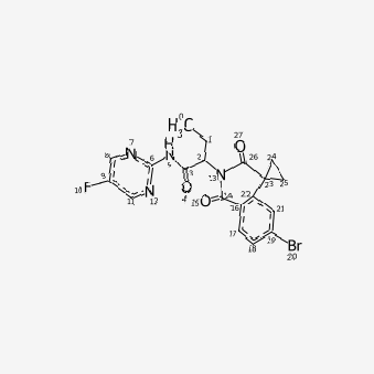 CCC(C(=O)Nc1ncc(F)cn1)N1C(=O)c2ccc(Br)cc2C2(CC2)C1=O